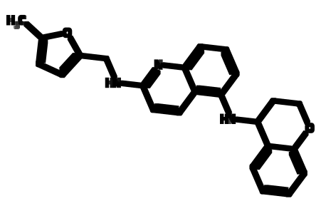 Cc1ccc(CNc2ccc3c(NC4CCOc5ccccc54)cccc3n2)o1